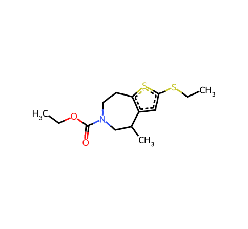 CCOC(=O)N1CCc2sc(SCC)cc2C(C)C1